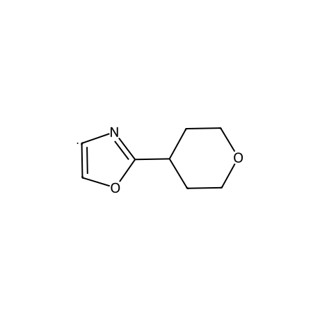 [c]1coc(C2CCOCC2)n1